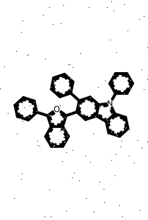 c1ccc(-c2cc3c(cc2-c2oc(-c4ccccc4)c4ccccc24)c2ccccc2n3-c2ccccc2)cc1